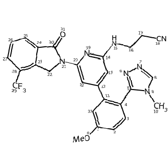 COc1ccc(-c2nncn2C)c(-c2cc(NCCC#N)nc(N3Cc4c(cccc4C(F)(F)F)C3=O)c2)c1